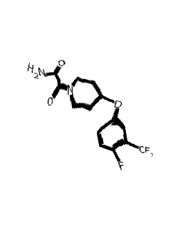 NC(=O)C(=O)N1CCC(Oc2ccc(F)c(C(F)(F)F)c2)CC1